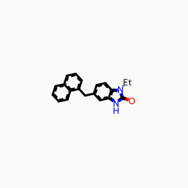 CCn1c(=O)[nH]c2cc(Cc3cccc4ccccc34)ccc21